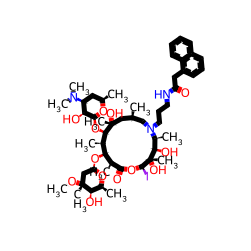 CO[C@]1(C)C[C@H](O[C@H]2[C@H](C)[C@@H](O[C@@H]3O[C@H](C)C[C@H](N(C)C)[C@H]3O)[C@](C)(O)C[C@@H](C)CN(CCCNC(=O)Cc3cccc4ccccc34)[C@H](C)[C@@H](O)[C@](C)(O)[C@@H](I)OC(=O)[C@@H]2C)O[C@@H](C)[C@@H]1O